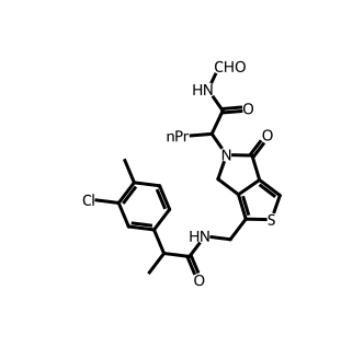 CCCC(C(=O)NC=O)N1Cc2c(csc2CNC(=O)C(C)c2ccc(C)c(Cl)c2)C1=O